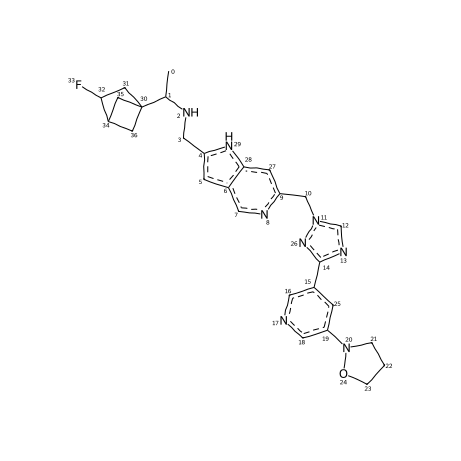 CC(NCc1cc2cnc(Cn3cnc(-c4cncc(N5CCCO5)c4)n3)cc2[nH]1)C12CC(F)C(C1)C2